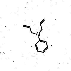 C=C[CH2][Al]([CH2]C=C)[c]1ccccc1